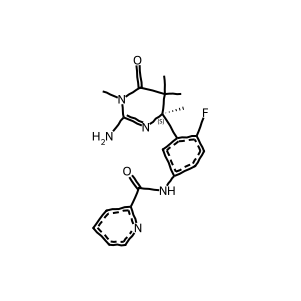 CN1C(=O)C(C)(C)[C@@](C)(c2cc(NC(=O)c3ccccn3)ccc2F)N=C1N